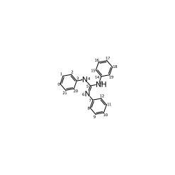 c1ccc([N]C(=Nc2ccccc2)Nc2ccccc2)cc1